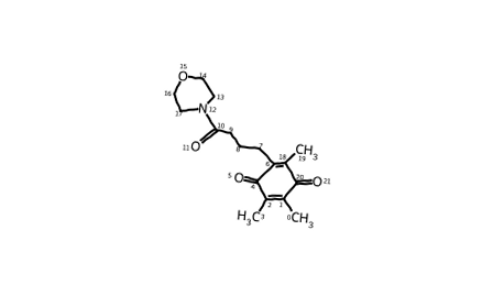 CC1=C(C)C(=O)C(CCCC(=O)N2CCOCC2)=C(C)C1=O